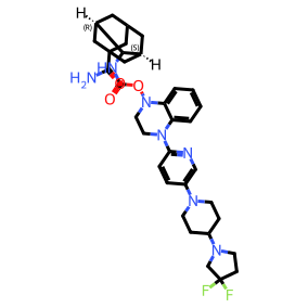 NC(=O)C12CC3C[C@H](C1)C(NC(=O)ON1CCN(c4ccc(N5CCC(N6CCC(F)(F)C6)CC5)cn4)c4ccccc41)[C@@H](C3)C2